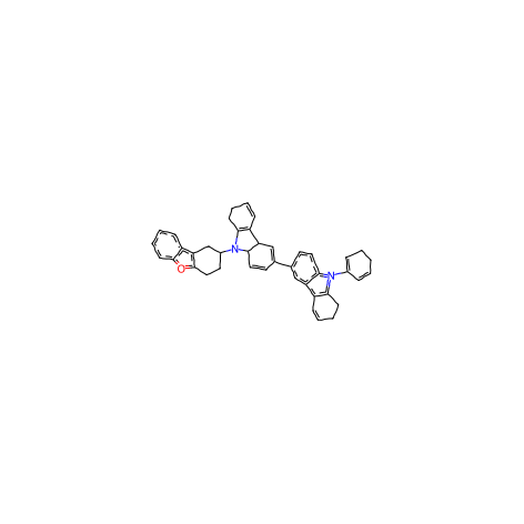 C1=CC(n2c3c(c4cc(C5=CC6C7=C(CCC=C7)N(C7CCc8oc9ccccc9c8C7)C6C=C5)ccc42)C=CCC3)=CCC1